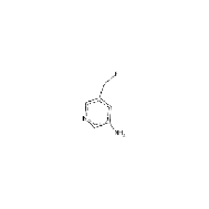 Nc1cncc(CF)c1